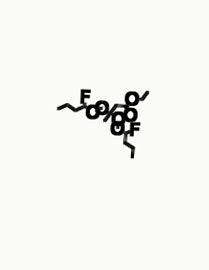 CCCC(F)OOC(C)(CC(=O)OCC)OOC(F)CCC